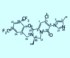 Cc1cn(-c2c(Cl)cc3n(c2=O)C[C@@H](C)N(Cc2cc(C(F)(F)F)cc(C(F)(F)F)c2)C3=O)cn1